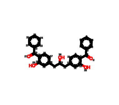 O=C(c1ccccc1)c1ccc(CC(O)Cc2ccc(C(=O)c3ccccc3)c(O)c2)cc1O